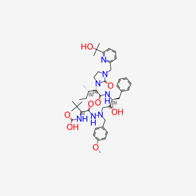 CC[C@H](C)[C@@H](C(=O)N[C@@H](Cc1ccccc1)[C@@H](O)CN(Cc1ccc(OC)cc1)NC(=O)[C@@H](NC(=O)O)C(C)(C)C)N1CCN(Cc2cccc(C(C)(C)O)n2)C1=O